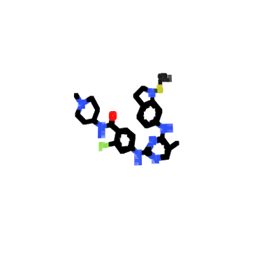 Cc1cnc(Nc2ccc(C(=O)NC3CCN(C)CC3)c(F)c2)nc1Nc1ccc2c(c1)N(SC(C)(C)C)CC2